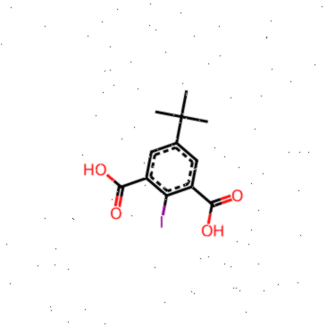 CC(C)(C)c1cc(C(=O)O)c(I)c(C(=O)O)c1